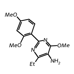 CCc1nc(-c2ccc(OC)cc2OC)nc(OC)c1N